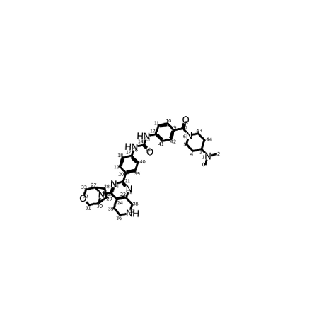 CN(C)C1CCN(C(=O)c2ccc(NC(=O)Nc3ccc(-c4nc5c(c(N6C7CCC6COC7)n4)CCNC5)cc3)cc2)CC1